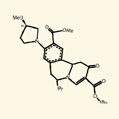 COC(=O)c1cc2c(cc1N1CC[C@@H](OC)C1)CC(C(C)C)N1C=C(C(=O)OC(C)(C)C)C(=O)CC21